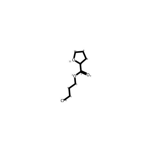 O=C(OCCCCl)C1CCCO1